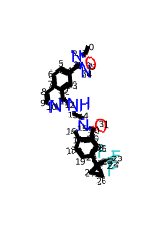 Cc1nc(-c2ccc3ccnc(NCCN4Cc5ccc(C6(C(F)(F)F)CC6)cc5C4=O)c3c2)no1